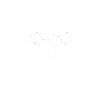 NCCN(Cc1cc(Cl)ccc1Br)c1ccccc1Cl